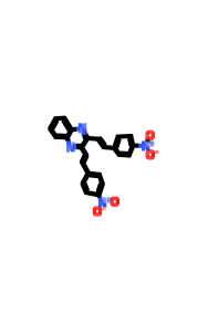 O=[N+]([O-])c1ccc(C=Cc2nc3ccccc3nc2C=Cc2ccc([N+](=O)[O-])cc2)cc1